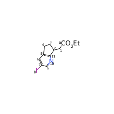 CCOC(=O)CC1CCc2cc(I)cnc21